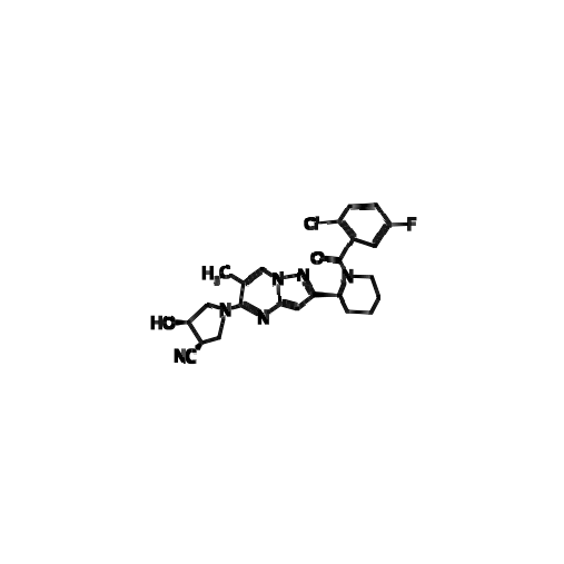 Cc1cn2nc([C@@H]3CCCCN3C(=O)c3cc(F)ccc3Cl)cc2nc1N1C[C@@H](C#N)[C@@H](O)C1